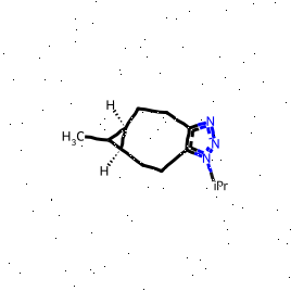 CC1[C@H]2CCc3nnn(C(C)C)c3CC[C@@H]12